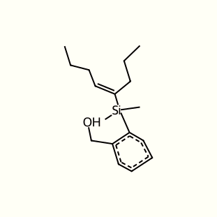 CCCC=C(CCC)[Si](C)(C)c1ccccc1CO